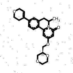 CC1Cc2cc(C3=CCOCC3)ccc2-c2cc(OC[C@@H]3COCCO3)cc(=O)n21